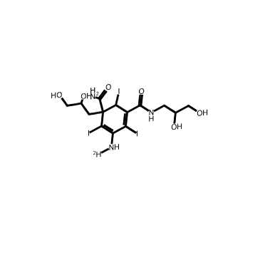 [2H]NC1=C(I)C(CC(O)CO)(C(N)=O)C(I)C(C(=O)NCC(O)CO)=C1I